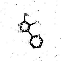 CC(C)(C)c1n[nH]c(-c2ncccn2)c1C(F)(F)F